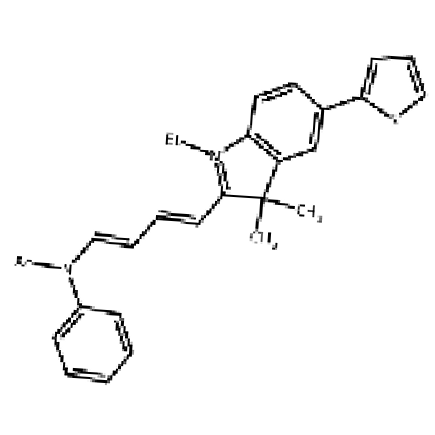 CC[N+]1=C(/C=C/C=C/N(C(C)=O)c2ccccc2)C(C)(C)c2cc(-c3cccs3)ccc21